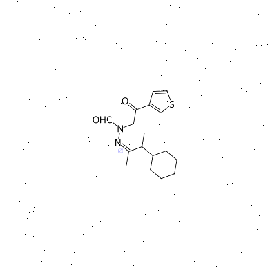 C/C(=N/N(C=O)CC(=O)c1ccsc1)C(C)C1CCCCC1